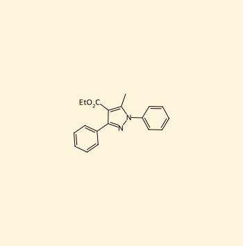 CCOC(=O)c1c(-c2ccccc2)nn(-c2ccccc2)c1C